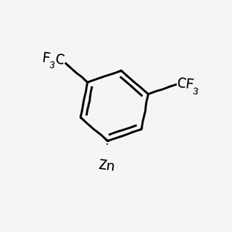 FC(F)(F)c1c[c]cc(C(F)(F)F)c1.[Zn]